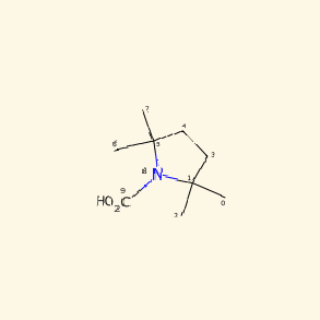 CC1(C)CCC(C)(C)N1C(=O)O